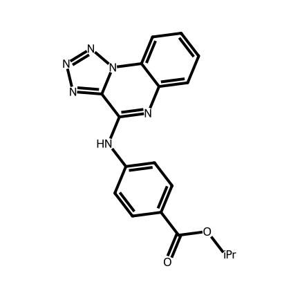 CC(C)OC(=O)c1ccc(Nc2nc3ccccc3n3nnnc23)cc1